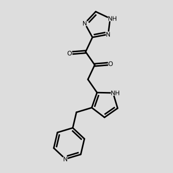 O=C(Cc1[nH]ccc1Cc1ccncc1)C(=O)c1nc[nH]n1